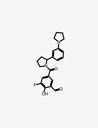 O=Cc1cc(C(=O)N2CCCC2c2cccc(N3CCCC3)c2)cc(F)c1O